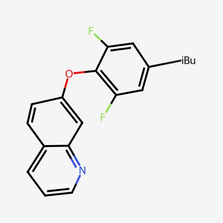 CCC(C)c1cc(F)c(Oc2ccc3cccnc3c2)c(F)c1